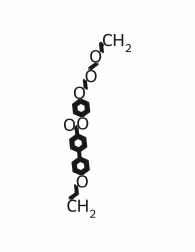 C=CCCOc1ccc(-c2ccc(C(=O)Oc3ccc(OCCOCCOCC=C)cc3)cc2)cc1